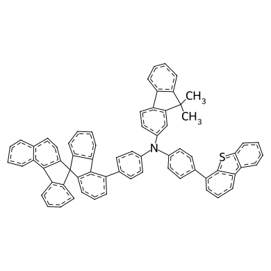 CC1(C)c2ccccc2-c2ccc(N(c3ccc(-c4cccc5c4-c4ccccc4C54c5ccccc5-c5c4ccc4ccccc54)cc3)c3ccc(-c4cccc5c4sc4ccccc45)cc3)cc21